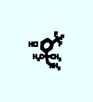 CC(C)(CN)c1cccc(C(F)(F)F)c1.Cl